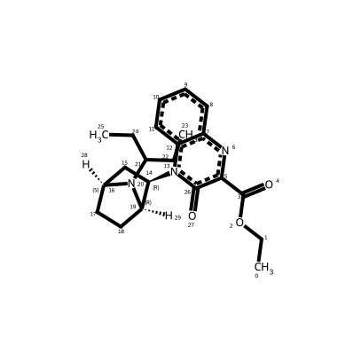 CCOC(=O)c1nc2ccccc2n([C@@H]2C[C@@H]3CC[C@H]2N3C(CC)CC)c1=O